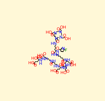 O=C(O)CCC(NC(=O)NC(CCCCNC(=O)CCCNC(=O)C(CCC(=O)O)NC(=O)C(CCC(=O)O)NC(=O)C(CCC(=O)O)NC(=O)CCCCCNC(=O)C(CCCCNC(=O)CN1CCN(CC(=O)O)CCN(CC(=O)O)CCN(CC(=O)O)CC1)NC(=O)c1ccc(F)nc1)C(=O)O)C(=O)O